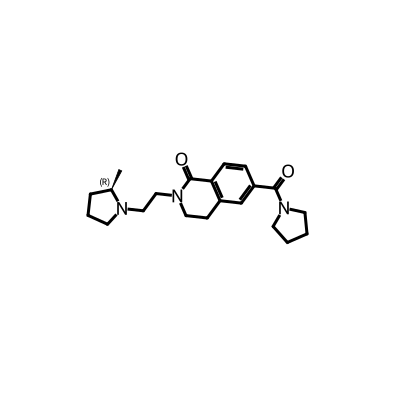 C[C@@H]1CCCN1CCN1CCc2cc(C(=O)N3CCCC3)ccc2C1=O